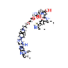 Cc1ncsc1-c1ccc([C@H](C)NC(=O)[C@@H]2C[C@@H](O)CN2C(=O)C(NC(=O)COCCCOCCCN2CCC3(CC2)CCN(c2nccc(Nc4cc5c(cn4)nc(C)n5C(C)C)n2)CC3)C(C)(C)C)cc1